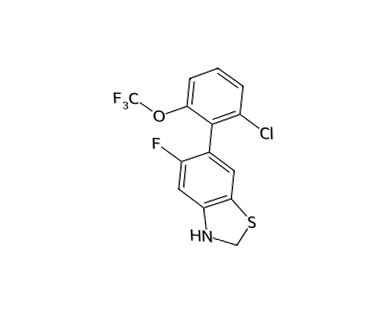 Fc1cc2c(cc1-c1c(Cl)cccc1OC(F)(F)F)SCN2